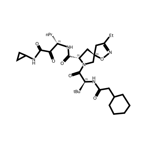 CCC[C@H](NC(=O)[C@@H]1C[C@]2(CC(CC)=NO2)CN1C(=O)[C@@H](NC(=O)CC1CCCCC1)C(C)(C)C)C(=O)C(=O)NC1CC1